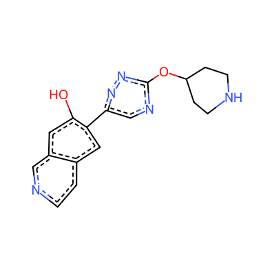 Oc1cc2cnccc2cc1-c1cnc(OC2CCNCC2)nn1